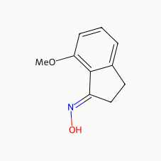 COc1cccc2c1C(=NO)CC2